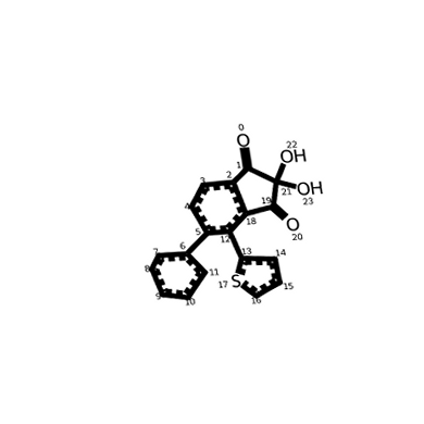 O=C1c2ccc(-c3ccccc3)c(-c3cccs3)c2C(=O)C1(O)O